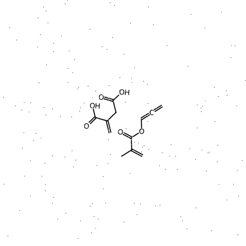 C=C(CC(=O)O)C(=O)O.C=C=COC(=O)C(=C)C